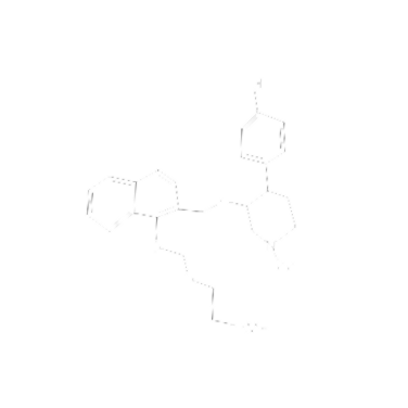 COCCOCOc1c(COC2CN(C(=O)O)CCC2c2ccc(O)cc2)ccc2ccccc12